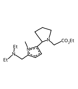 CCOC(=O)CN1CCCC1c1ccc(CN(CC)CC)n1C